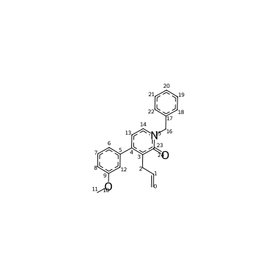 C=CCc1c(-c2cccc(OC)c2)ccn(Cc2ccccc2)c1=O